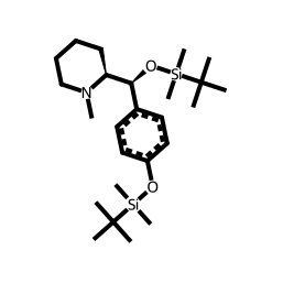 CN1CCCC[C@H]1[C@@H](O[Si](C)(C)C(C)(C)C)c1ccc(O[Si](C)(C)C(C)(C)C)cc1